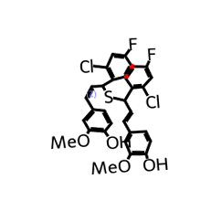 COc1cc(C=CC(SC(/C=C\c2ccc(O)c(OC)c2)c2ccc(F)cc2Cl)c2ccc(F)cc2Cl)ccc1O